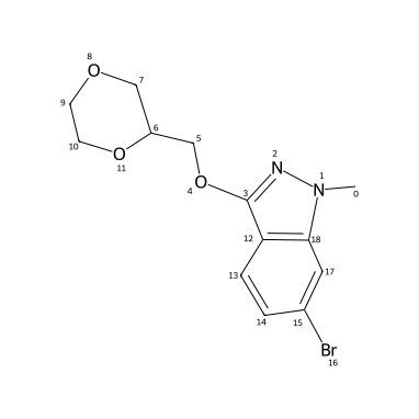 Cn1nc(OCC2COCCO2)c2ccc(Br)cc21